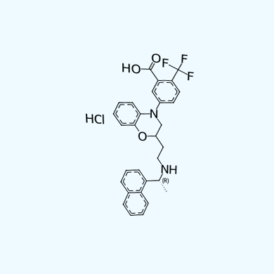 C[C@@H](NCCC1CN(c2ccc(C(F)(F)F)c(C(=O)O)c2)c2ccccc2O1)c1cccc2ccccc12.Cl